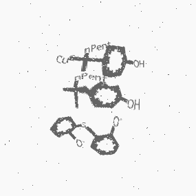 CCCCCC(C)(C)c1ccc(O)cc1.CCCCCC(C)(C)c1ccc(O)cc1.[Cu+2].[O-]c1ccccc1Sc1ccccc1[O-]